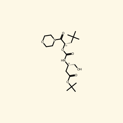 CC(C)(C)C[C@H](OC(=O)N[C@H](CO)CC(=O)OC(C)(C)C)C(=O)N1CCOCC1